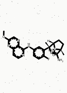 COc1cnc2c(Nc3ccc(F)c([C@@]4(C)N=C(N)[C@@]5(C)CC[C@@H]4S5(O)O)c3)nccc2n1